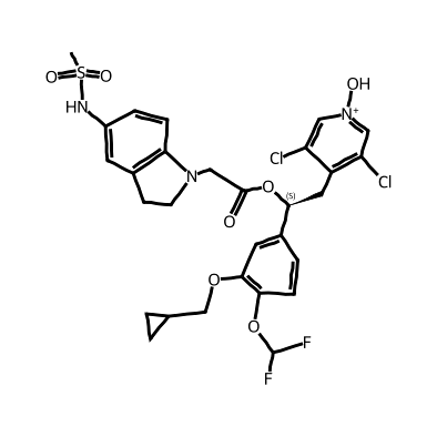 CS(=O)(=O)Nc1ccc2c(c1)CCN2CC(=O)O[C@@H](Cc1c(Cl)c[n+](O)cc1Cl)c1ccc(OC(F)F)c(OCC2CC2)c1